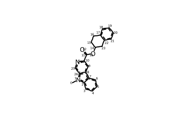 Cn1c2ccccc2c2cc(C(=O)OC3CCc4ccccc4C3)ncc21